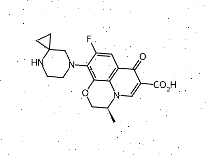 C[C@H]1COc2c(N3CCNC4(CC4)C3)c(F)cc3c(=O)c(C(=O)O)cn1c23